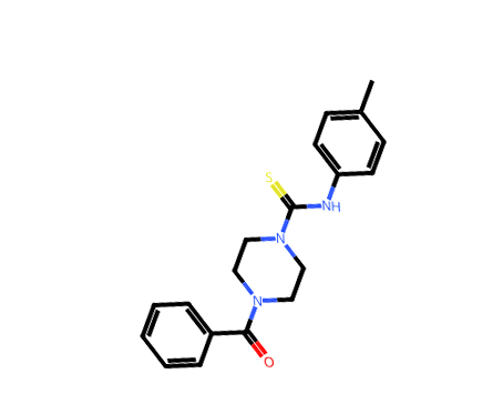 Cc1ccc(NC(=S)N2CCN(C(=O)c3ccccc3)CC2)cc1